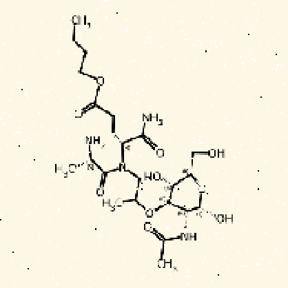 CCCCOC(=O)CC[C@H](C(N)=O)N(CC(C)O[C@H]1[C@H](O)[C@@H](CO)O[C@H](O)[C@@H]1NC(C)=O)C(=O)[C@H](C)N